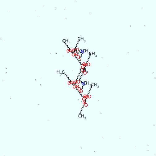 CCCCCCCCC(=O)OCC(COC(=O)CCCCCCCC)OC(=O)CCCC(CCCC(=O)OC(COC(=O)CCCCCCCC)COC(=O)CCCCCCCC)OC(=O)CCCN(C)CCCCCCCCC(=O)OCC(COC(=O)CCCCCCC)OC(=O)CCCC(CCCC(=O)OC(COC(=O)CCCCCCC)COC(=O)CCCCCCC)SC(=O)CCCN(C)C